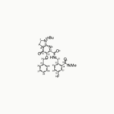 CCCCN1CCn2c1nc(C(=O)NCc1ccc(F)cc1C(=O)NC)c(OCc1ccccc1)c2=O